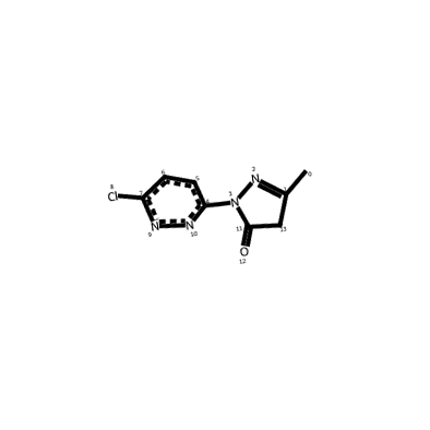 CC1=NN(c2ccc(Cl)nn2)C(=O)C1